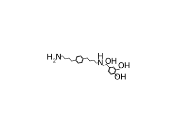 NCCCCc1ccc(CCCCNCC(O)c2ccc(O)c(CO)c2)cc1